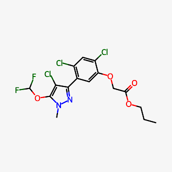 CCCOC(=O)COc1cc(-c2nn(C)c(OC(F)F)c2Cl)c(Cl)cc1Cl